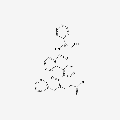 O=C(O)CCN(Cc1ccccc1)C(=O)c1ccccc1-c1ccccc1C(=O)N[C@@H](CO)c1ccccc1